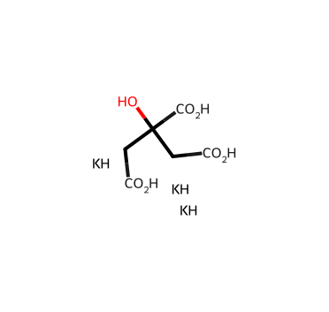 O=C(O)CC(O)(CC(=O)O)C(=O)O.[KH].[KH].[KH]